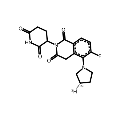 [2H][C@H]1CCN(c2c(F)ccc3c2CC(=O)N(C2CCC(=O)NC2=O)C3=O)C1